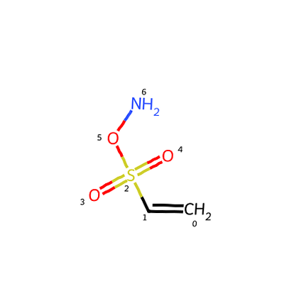 C=CS(=O)(=O)ON